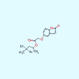 CCC(C)(CC(C)OC(=O)COc1ccc2oc(=O)ccc2c1)C(C)=O